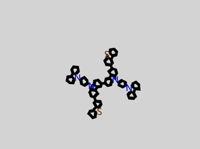 c1ccc2c(c1)sc1ccc(-c3ccc4c(c3)c3cc(-c5ccc6c(c5)c5cc(-c7ccc8sc9ccccc9c8c7)ccc5n6-c5ccc(-n6c7ccccc7c7ccccc76)cc5)ccc3n4-c3ccc(-n4c5ccccc5c5ccccc54)cc3)cc12